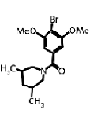 COc1cc(C(=O)N2CC(C)CC(C)C2)cc(OC)c1Br